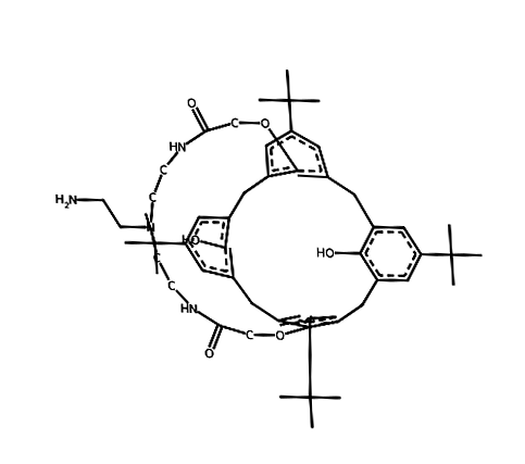 CC(C)(C)c1cc2c(O)c(c1)Cc1cc(C(C)(C)C)cc3c1OCC(=O)NCCN(CCN)CCNC(=O)COc1c(cc(C(C)(C)C)cc1Cc1cc(C(C)(C)C)cc(c1O)C3)C2